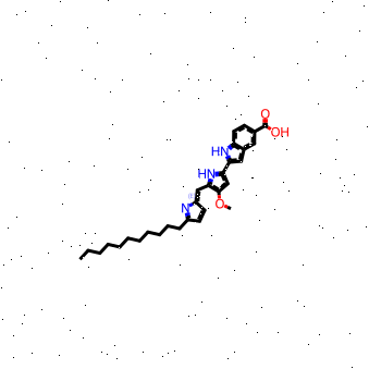 CCCCCCCCCCCC1=N/C(=C/c2[nH]c(-c3cc4cc(C(=O)O)ccc4[nH]3)cc2OC)C=C1